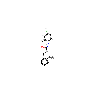 O=C(CCc1ccccc1[N+](=O)[O-])Nc1ccc(Cl)cc1C(=O)O